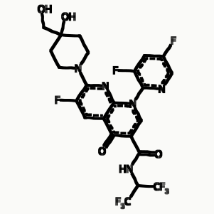 O=C(NC(C(F)(F)F)C(F)(F)F)c1cn(-c2ncc(F)cc2F)c2nc(N3CCC(O)(CO)CC3)c(F)cc2c1=O